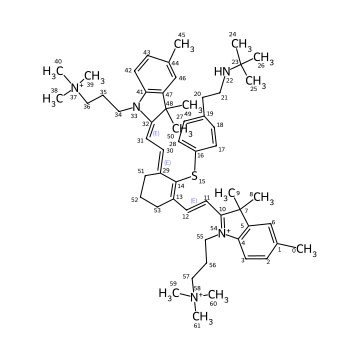 Cc1ccc2c(c1)C(C)(C)C(/C=C/C1=C(Sc3ccc(CCNC(C)(C)C)cc3)C(=C/C=C3/N(CCC[N+](C)(C)C)c4ccc(C)cc4C3(C)C)/CCC1)=[N+]2CCC[N+](C)(C)C